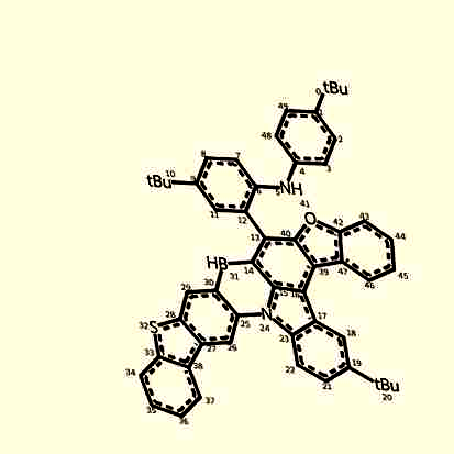 CC(C)(C)c1ccc(Nc2ccc(C(C)(C)C)cc2-c2c3c4c(c5cc(C(C)(C)C)ccc5n4-c4cc5c(cc4B3)sc3ccccc35)c3c2oc2ccccc23)cc1